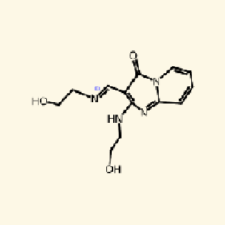 O=c1c(/C=N/CCO)c(NCCO)nc2ccccn12